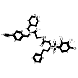 Cc1c(Cl)ccc(S(=O)(=O)N(CCc2ccccc2)CC(=O)NCC(=O)N(Cc2ccc(C#N)cc2)CC2CCNCC2)c1Cl